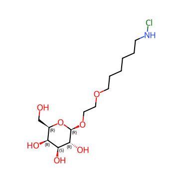 OC[C@H]1O[C@@H](OCCOCCCCCCNCl)[C@H](O)[C@@H](O)[C@H]1O